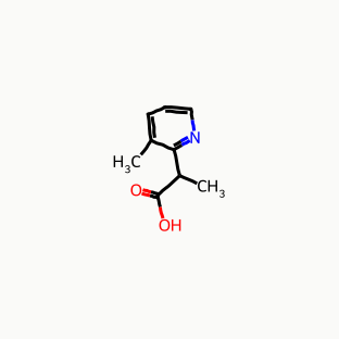 Cc1cccnc1C(C)C(=O)O